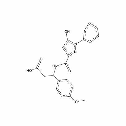 COc1ccc(C(CC(=O)O)NC(=O)c2cc(O)n(-c3ccccc3)n2)cc1